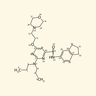 CCCN(CCC)c1nc(OCCN2CCOCC2)cc(C(=O)Nc2ccc3c(c2)CCC3)n1